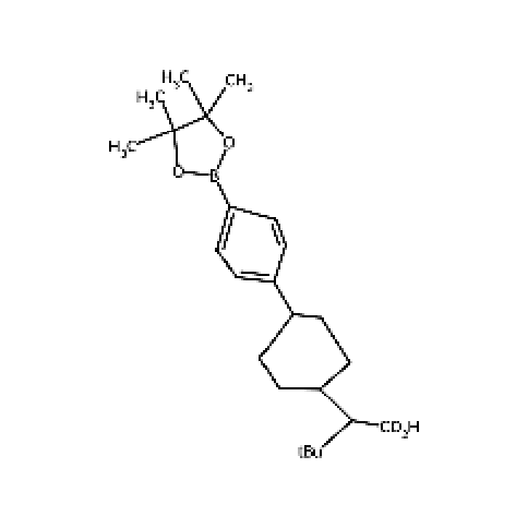 CC(C)(C)C(C(=O)O)C1CCC(c2ccc(B3OC(C)(C)C(C)(C)O3)cc2)CC1